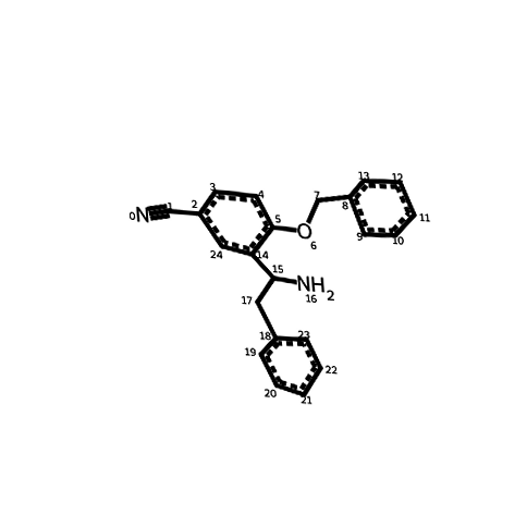 N#Cc1ccc(OCc2ccccc2)c(C(N)Cc2ccccc2)c1